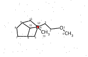 COCCN1CC2CCC(C1)C2OC